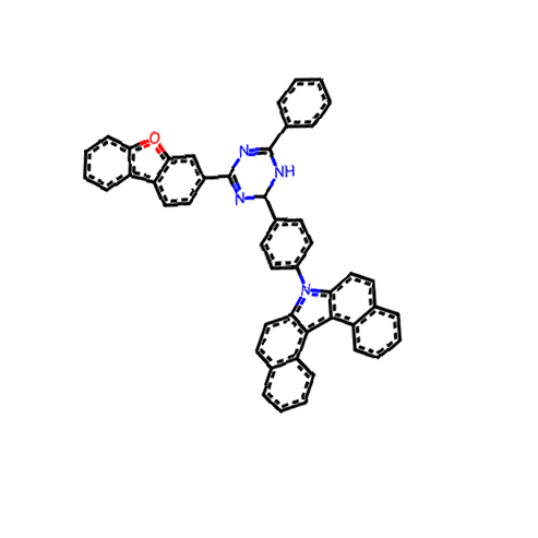 c1ccc(C2=NC(c3ccc4c(c3)oc3ccccc34)=NC(c3ccc(-n4c5ccc6ccccc6c5c5c6ccccc6ccc54)cc3)N2)cc1